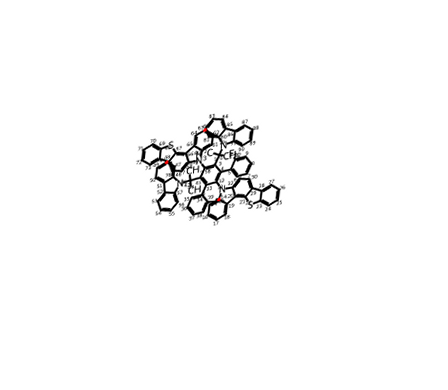 CC(C)(c1c(-c2ccccc2F)c(-n2c3ccccc3c3c4sc5ccccc5c4ccc32)c(-c2ccccc2F)c(C(C)(C)n2c3ccccc3c3ccccc32)c1-n1c2ccccc2c2c3sc4ccccc4c3ccc21)n1c2ccccc2c2ccccc21